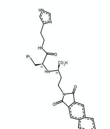 CC(C)C[C@H](N[C@H](CCN1C(=O)c2cc3ccccc3cc2C1=O)C(=O)O)C(=O)NCCc1c[nH]cn1